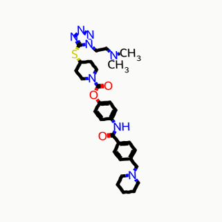 CN(C)CCn1nnnc1SC1CCN(C(=O)Oc2ccc(NC(=O)c3ccc(CN4CCCCC4)cc3)cc2)CC1